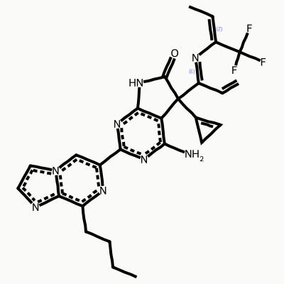 C=C/C(=N\C(=C/C)C(F)(F)F)C1(C2=CC2)C(=O)Nc2nc(-c3cn4ccnc4c(CCCC)n3)nc(N)c21